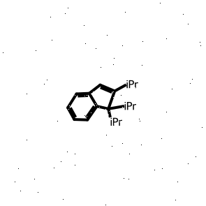 CC(C)C1=Cc2ccccc2C1(C(C)C)C(C)C